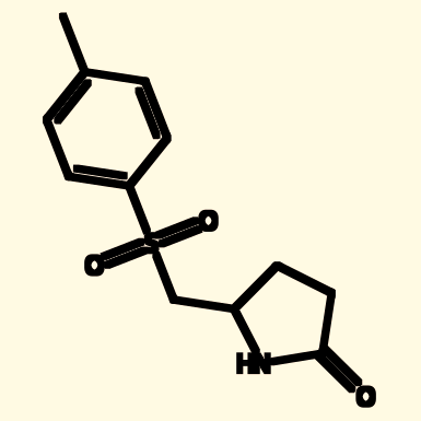 Cc1ccc(S(=O)(=O)CC2CCC(=O)N2)cc1